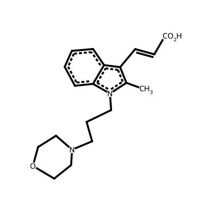 Cc1c(/C=C/C(=O)O)c2ccccc2n1CCCN1CCOCC1